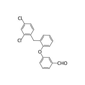 O=Cc1cccc(Oc2ccccc2Cc2ccc(Cl)cc2Cl)c1